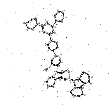 Cc1cc(-c2ccc(-c3nc(-c4ccccc4)nc(-c4ccccc4)n3)cc2)ccc1-n1c2ccccc2c2cc(-n3c4ccccc4c4ccccc43)ccc21